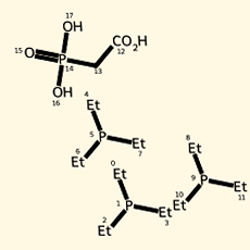 CCP(CC)CC.CCP(CC)CC.CCP(CC)CC.O=C(O)CP(=O)(O)O